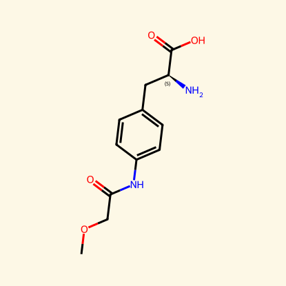 COCC(=O)Nc1ccc(C[C@H](N)C(=O)O)cc1